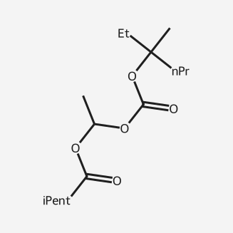 CCCC(C)C(=O)OC(C)OC(=O)OC(C)(CC)CCC